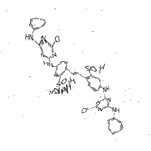 O=S(=O)(O)c1cc(Nc2nc(Cl)nc(Nc3ccccc3)n2)ccc1C=Cc1ccc(Nc2nc(Cl)nc(Nc3ccccc3)n2)cc1S(=O)(=O)O.[NaH].[NaH]